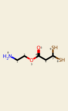 NCCOC(=O)CC(S)S